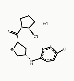 Cl.N#C[C@@H]1CCCN1C(=O)[C@@H]1C[C@H](Nc2ccc(Cl)nn2)CN1